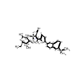 CC[C@H]1OC(O)[C@H](NS(=O)(=O)/C(C#N)=C(\C)c2ccc(-c3ccc4cc(N(C)C)ccc4c3)s2)[C@@H](O)[C@@H]1O